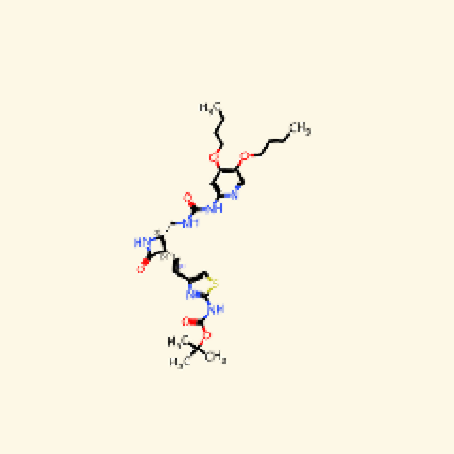 CCCCOc1cnc(NC(=O)NC[C@H]2NC(=O)[C@H]2/C=C/c2csc(NC(=O)OC(C)(C)C)n2)cc1OCCCC